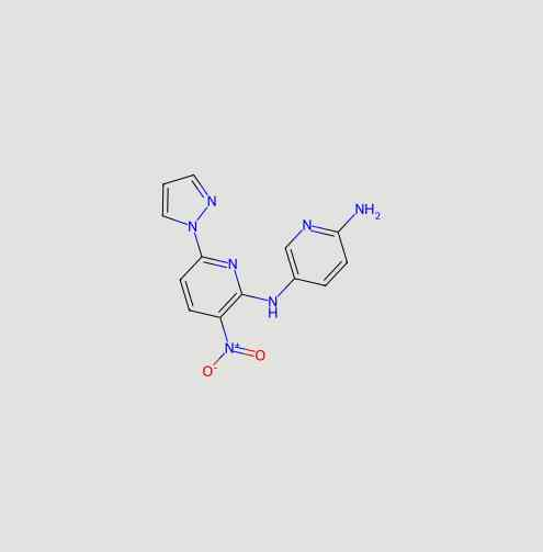 Nc1ccc(Nc2nc(-n3cccn3)ccc2[N+](=O)[O-])cn1